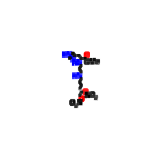 COC(=O)C(Cc1c[nH]cn1)NCCCNCCCC[C@@H](CO[N+](=O)[O-])O[N+](=O)[O-]